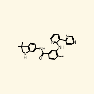 CC1(C)CNc2cc(NC(=O)c3ccc(F)c(Nc4ncccc4-c4ccncn4)c3)ccc21